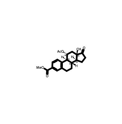 COC(=O)c1ccc2c(c1)CC[C@@H]1[C@@H]2[C@H](OC(C)=O)C[C@]2(C)C(=O)CC[C@@H]12